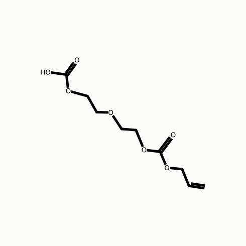 C=CCOC(=O)OCCOCCOC(=O)O